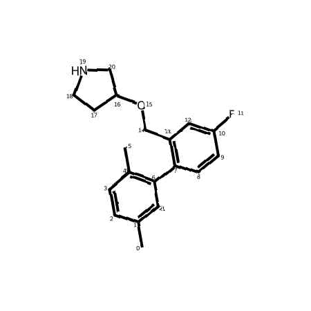 Cc1ccc(C)c(-c2ccc(F)cc2COC2CCNC2)c1